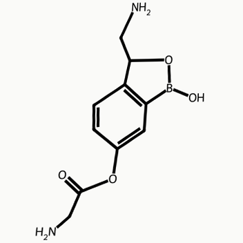 NCC(=O)Oc1ccc2c(c1)B(O)OC2CN